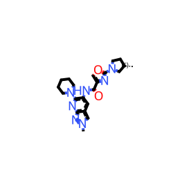 C[C@H]1CCN(c2nc(C(=O)Nc3cc4cn(C)nc4nc3N3CCCCC3)co2)C1